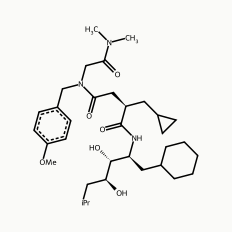 COc1ccc(CN(CC(=O)N(C)C)C(=O)C[C@@H](CC2CC2)C(=O)N[C@@H](CC2CCCCC2)[C@@H](O)[C@@H](O)CC(C)C)cc1